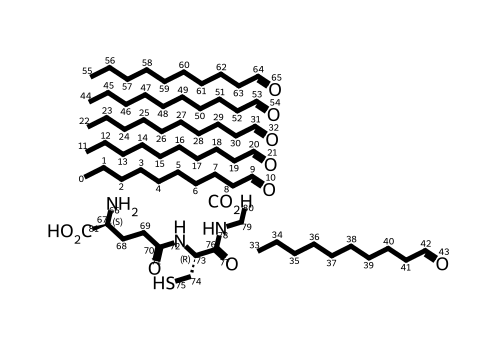 CCCCCCCCCC=O.CCCCCCCCCC=O.CCCCCCCCCC=O.CCCCCCCCCC=O.CCCCCCCCCC=O.CCCCCCCCCC=O.N[C@@H](CCC(=O)N[C@@H](CS)C(=O)NCC(=O)O)C(=O)O